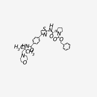 CC(C)(CN1CCOCC1)NC(=O)c1ccc(-c2csc(NC(=O)[C@@H]3CCCN3C(=O)OCc3ccccc3)n2)cc1